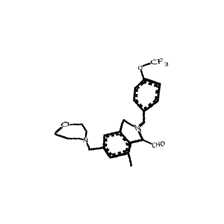 Cc1cc(CN2CCOCC2)cc2c1C(C=O)N(Cc1ccc(OC(F)(F)F)cc1)C2